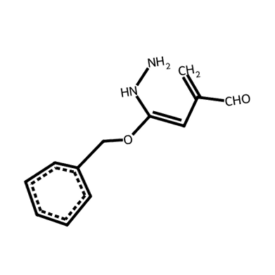 C=C(C=O)/C=C(\NN)OCc1ccccc1